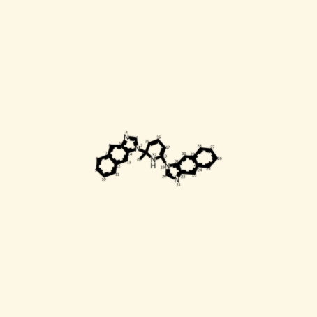 CC1(n2cnc3cc4ccccc4cc32)C=CC=C(n2cnc3cc4ccccc4cc32)N1